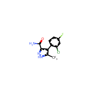 NC(=O)c1n[nH]c(C(F)(F)F)c1-c1ccc(F)cc1Cl